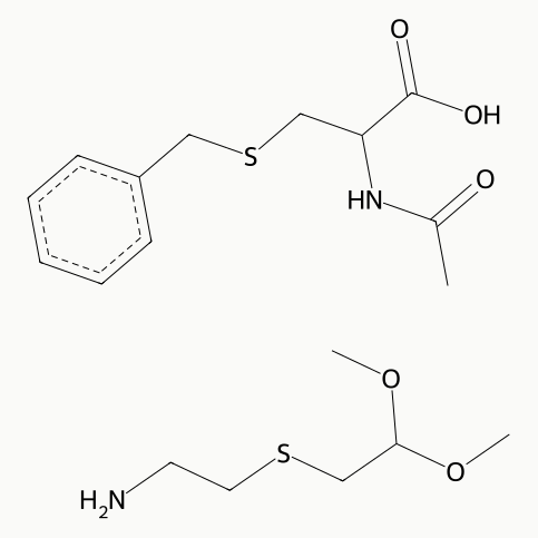 CC(=O)NC(CSCc1ccccc1)C(=O)O.COC(CSCCN)OC